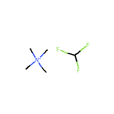 C[N+](C)(C)C.FC(F)F